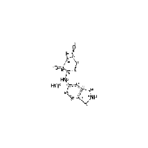 Cl.O=C1CCC(Nc2ccc3c(c2)CNC3)C(=O)N1